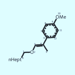 CCCCCCCCO/C=C(\C)c1ccc(OC)cc1